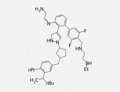 CCBCCNCc1c(F)cc(-c2cccc(/N=C\CN)c2C2=CN(C3CCC(Cc4ccc(CCC)c(C(C)CCCC)c4)C3)NC2)cc1F